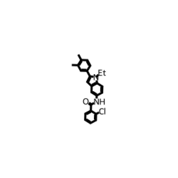 CCn1c(-c2ccc(C)c(C)c2)cc2cc(NC(=O)c3ccccc3Cl)ccc21